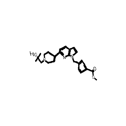 COC(=O)c1ccc(Cn2ccc3ccc(C4CCN(CC(C)(C)O)CC4)nc32)cc1